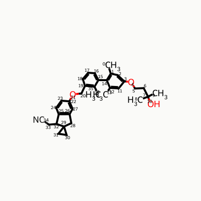 Cc1cc(OCCC(C)(C)O)cc(C)c1-c1cccc(COc2ccc3c(c2)CC2(CC2)C3CC#N)c1C